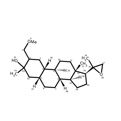 COCC1C[C@H]2[C@H](CC[C@@H]3[C@@H]2CC[C@]2(C)[C@@H](C4(C)CO4)CC[C@@H]32)CC1(C)O